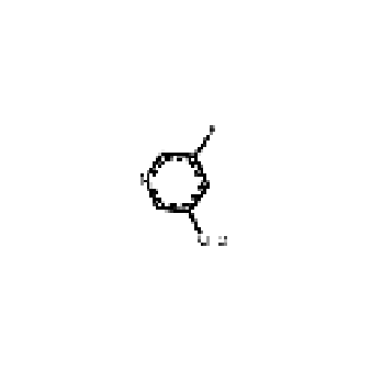 O=[C]c1cncc(F)c1